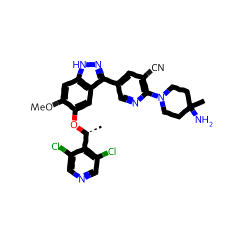 COc1cc2[nH]nc(-c3cnc(N4CCC(C)(N)CC4)c(C#N)c3)c2cc1O[C@H](C)c1c(Cl)cncc1Cl